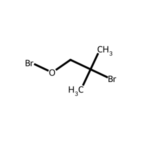 CC(C)(Br)COBr